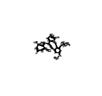 COc1cc(OC)c2c(c1)nc(Nc1c(F)cccc1Cl)c1cncn12